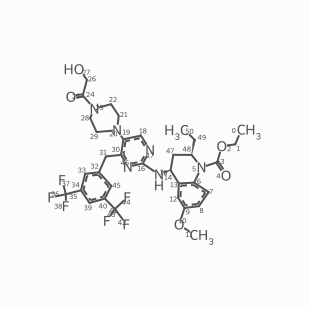 CCOC(=O)N1c2ccc(OC)cc2[C@@H](Nc2ncc(N3CCN(C(=O)CO)CC3)c(Cc3cc(C(F)(F)F)cc(C(F)(F)F)c3)n2)C[C@H]1CC